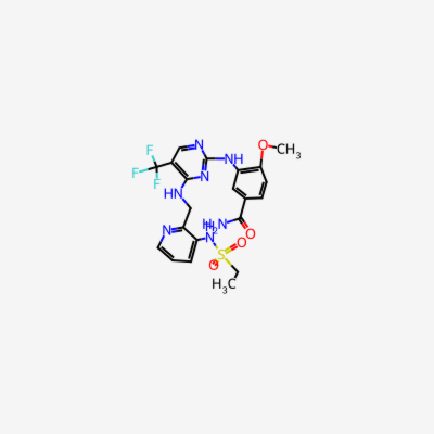 CCS(=O)(=O)Nc1cccnc1CNc1nc(Nc2cc(C(N)=O)ccc2OC)ncc1C(F)(F)F